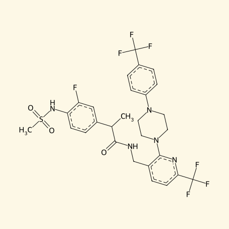 CC(C(=O)NCc1ccc(C(F)(F)F)nc1N1CCN(c2ccc(C(F)(F)F)cc2)CC1)c1ccc(NS(C)(=O)=O)c(F)c1